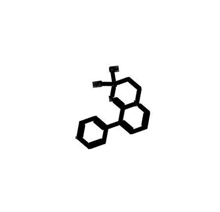 OS1(O)CCN2C=CC=C(c3cc[c]cc3)C2=N1